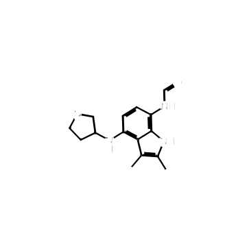 Cc1[nH]c2c(NC=O)ccc(NC3CCNC3)c2c1C